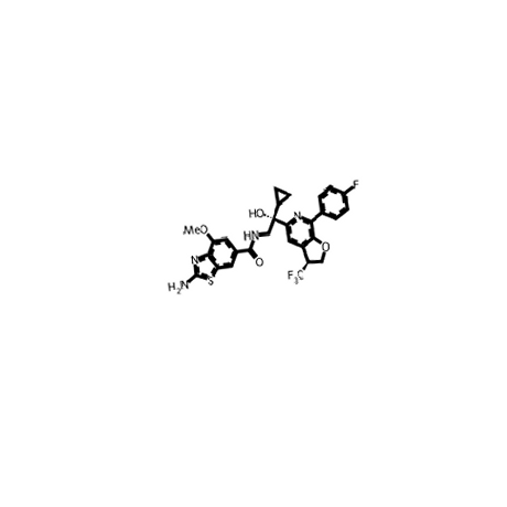 COc1cc(C(=O)NC[C@](O)(c2cc3c(c(-c4ccc(F)cc4)n2)OC[C@H]3C(F)(F)F)C2CC2)cc2sc(N)nc12